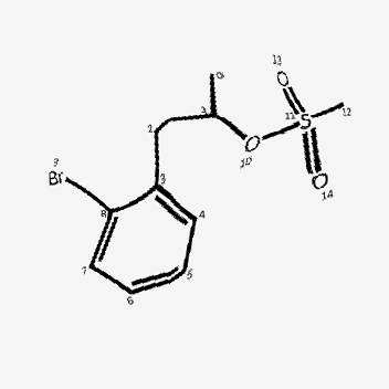 CC(Cc1ccccc1Br)OS(C)(=O)=O